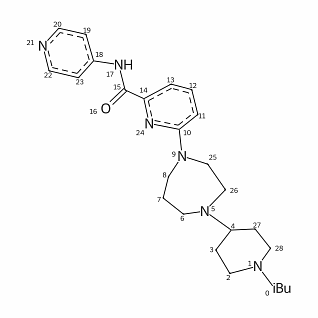 CCC(C)N1CCC(N2CCCN(c3cccc(C(=O)Nc4ccncc4)n3)CC2)CC1